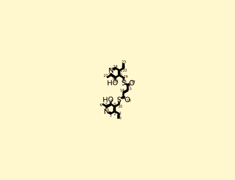 C=Cc1cnc(C)c(O)c1CSC(=O)C=CC(=O)SCc1c(C=C)cnc(C)c1O